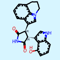 O=C1NC(=O)[C@@H](c2c[nH]c3cccc(O)c23)[C@@H]1c1cn2c3c(cccc13)CCC2